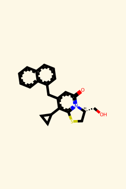 O=c1cc(Cc2cccc3ccccc23)c(C2CC2)c2n1[C@H](CO)CS2